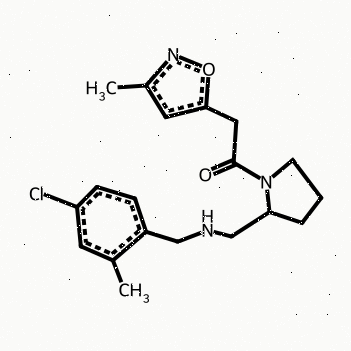 Cc1cc(CC(=O)N2CCCC2CNCc2ccc(Cl)cc2C)on1